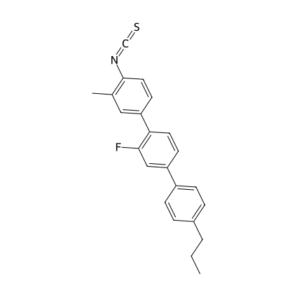 CCCc1ccc(-c2ccc(-c3ccc(N=C=S)c(C)c3)c(F)c2)cc1